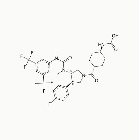 CN(C(=O)N(C)[C@@H]1CN(C(=O)[C@H]2CC[C@H](NC(=O)O)CC2)C[C@H]1c1ccc(F)cc1)c1cc(C(F)(F)F)cc(C(F)(F)F)c1